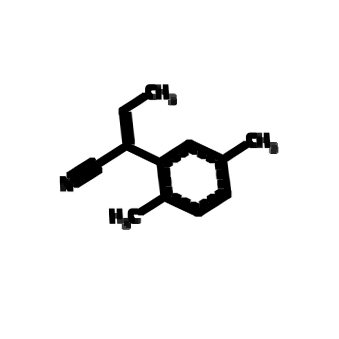 C/C=C(/C#N)c1cc(C)ccc1C